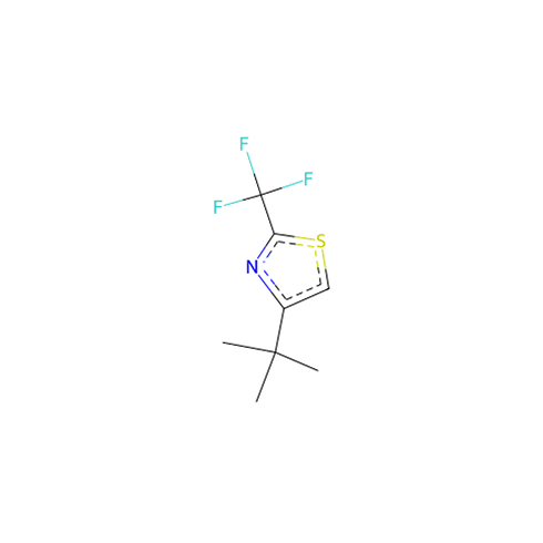 CC(C)(C)c1csc(C(F)(F)F)n1